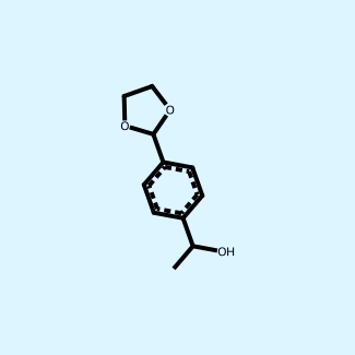 CC(O)c1ccc(C2OCCO2)cc1